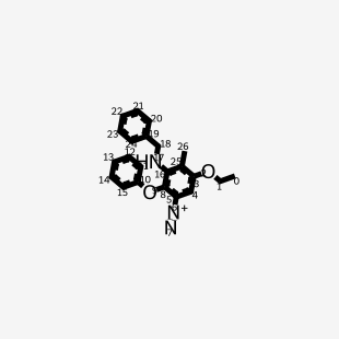 CCOc1cc([N+]#N)c(Oc2ccccc2)c(NCc2ccccc2)c1C